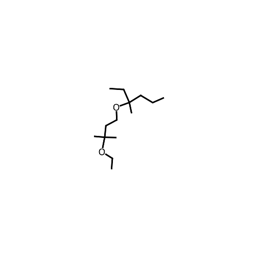 CCCC(C)(CC)OCCC(C)(C)OCC